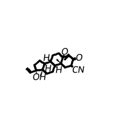 C=C[C@@]1(O)CC[C@H]2[C@@H]3CCC45OC4(C)C(=O)C(C#N)C[C@]5(C)[C@H]3CC[C@@]21C